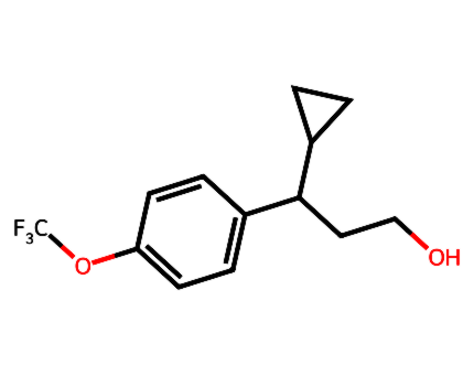 OCCC(c1ccc(OC(F)(F)F)cc1)C1CC1